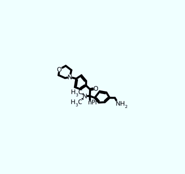 CCCC(C(=O)c1ccc(N2CCOCC2)cc1)(c1ccc(CN)cc1)N(C)C